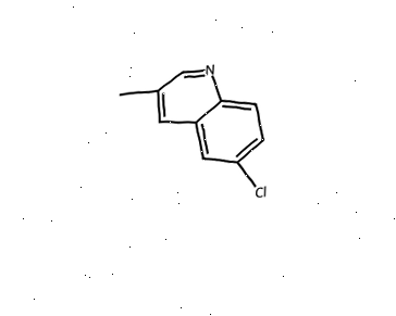 Cc1cnc2ccc(Cl)cc2c1